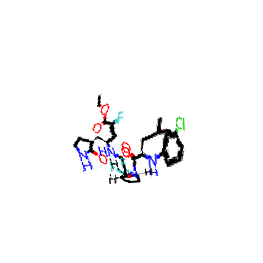 CCOC(=O)/C(F)=C\[C@H](C[C@H]1CCNC1=O)NC(=O)[C@@H]1[C@@H]2CC[C@@H](CC2(F)F)N1C(=O)[C@@H](CC(C)C)Nc1cccc(Cl)c1